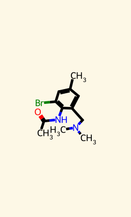 CC(=O)Nc1c(Br)cc(C)cc1CN(C)C